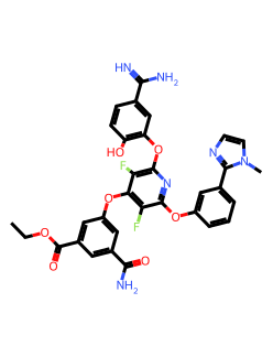 CCOC(=O)c1cc(Oc2c(F)c(Oc3cccc(-c4nccn4C)c3)nc(Oc3cc(C(=N)N)ccc3O)c2F)cc(C(N)=O)c1